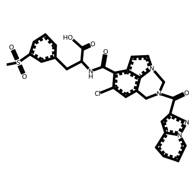 CS(=O)(=O)c1cccc(CC(NC(=O)c2c(Cl)cc3c4c2ccn4CN(C(=O)c2cc4ccccn4n2)C3)C(=O)O)c1